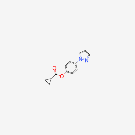 O=C(Oc1ccc(-n2cccn2)cc1)C1CC1